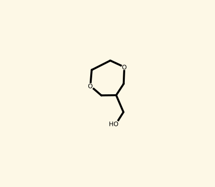 OCC1COCCOC1